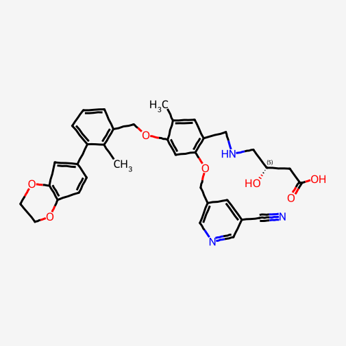 Cc1cc(CNC[C@@H](O)CC(=O)O)c(OCc2cncc(C#N)c2)cc1OCc1cccc(-c2ccc3c(c2)OCCO3)c1C